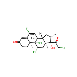 C[C@H]1C[C@H]2[C@@H]3C=C(F)C4=CC(=O)C=C[C@]4(C)[C@@]3(Cl)[C@@H](Cl)C[C@]2(C)[C@]1(O)C(=O)CCl